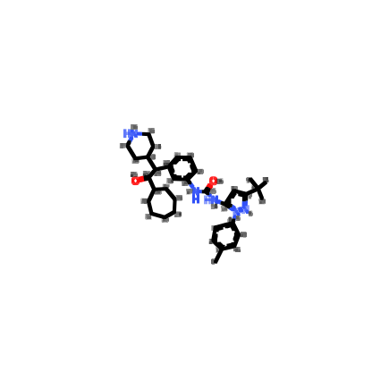 Cc1ccc(-n2nc(C(C)(C)C)cc2NC(=O)Nc2cccc(C(C(=O)C3CCCCCC3)C3CCNCC3)c2)cc1